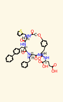 O=C(O)CC[C@H](NC(=O)[C@@H]1Cc2ccc(cc2)OCC(=O)N[C@H](Cc2cccs2)C(=O)N[C@@H](Cc2ccc(-c3ccccc3)cc2)C(=O)N[C@H](CCc2ccccc2)C(=O)N1)C(=O)O